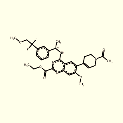 CCOC(=O)c1nc(N[C@H](C)c2cccc(C(F)(F)COC)c2)c2cc(C3=CCN(C(C)=O)CC3)c(OC)cc2n1